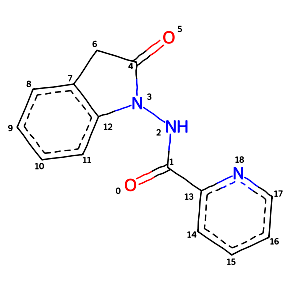 O=C(NN1C(=O)Cc2ccccc21)c1ccccn1